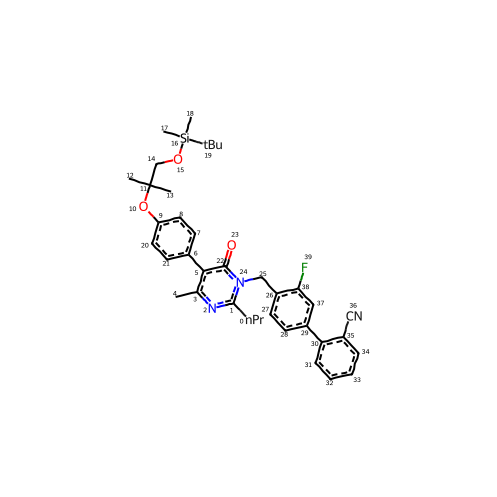 CCCc1nc(C)c(-c2ccc(OC(C)(C)CO[Si](C)(C)C(C)(C)C)cc2)c(=O)n1Cc1ccc(-c2ccccc2C#N)cc1F